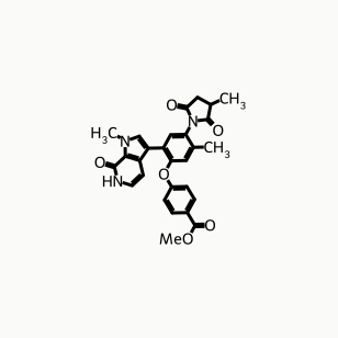 COC(=O)c1ccc(Oc2cc(C)c(N3C(=O)CC(C)C3=O)cc2-c2cn(C)c3c(=O)[nH]ccc23)cc1